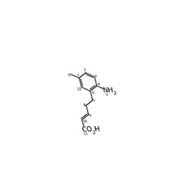 Cc1ccc(N)c(CCC=CC(=O)O)c1